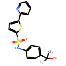 O=S(=O)(Nc1ccc(C(O)(C(F)(F)F)C(F)(F)F)cc1)c1ccc(-c2ccccn2)s1